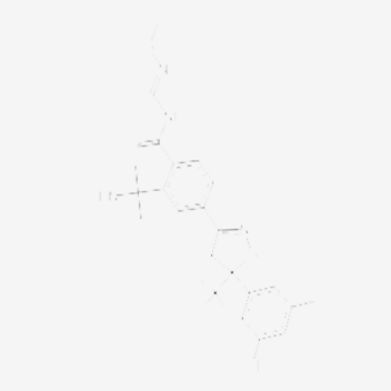 CON=CNC(=O)c1ccc(C2=NOC(c3cc(Cl)cc(Cl)c3)(C(F)(F)F)C2)cc1C(C)(C)N